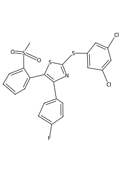 CS(=O)(=O)c1ccccc1-c1sc(Sc2cc(Cl)cc(Cl)c2)nc1-c1ccc(F)cc1